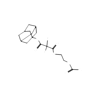 CC(C)C(=O)OCCOC(=O)C(F)(F)C(=O)OC12CC3CC(CC(C3)C1)C2